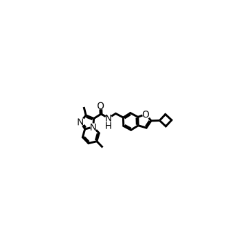 Cc1ccc2nc(C)c(C(=O)NCc3ccc4cc(C5CCC5)oc4c3)n2c1